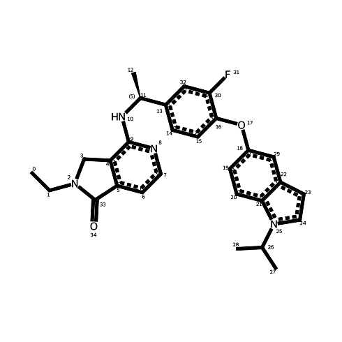 CCN1Cc2c(ccnc2N[C@@H](C)c2ccc(Oc3ccc4c(ccn4C(C)C)c3)c(F)c2)C1=O